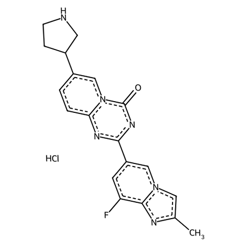 Cc1cn2cc(-c3nc(=O)n4cc(C5CCNC5)ccc4n3)cc(F)c2n1.Cl